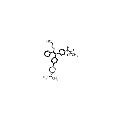 CC(C)N1CCC(c2ccc(/C(=C(/CCCO)c3ccccc3)c3ccc(NS(C)(=O)=O)cc3)cc2)CC1